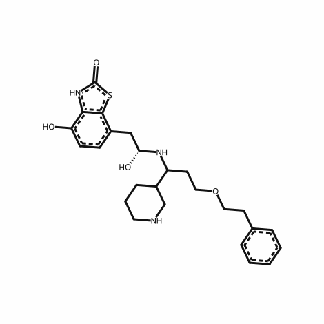 O=c1[nH]c2c(O)ccc(C[C@@H](O)NC(CCOCCc3ccccc3)C3CCCNC3)c2s1